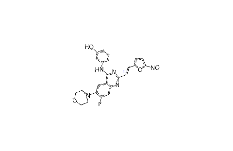 O=Nc1ccc(/C=C/c2nc(Nc3cccc(O)c3)c3cc(N4CCOCC4)c(F)cc3n2)o1